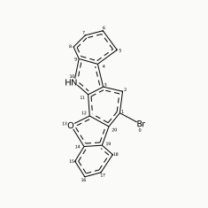 Brc1cc2c3ccccc3[nH]c2c2oc3ccccc3c12